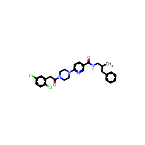 CC(CNC(=O)c1ccc(N2CCN(C(=O)Cc3cc(Cl)ccc3Cl)CC2)nc1)Cc1ccccc1